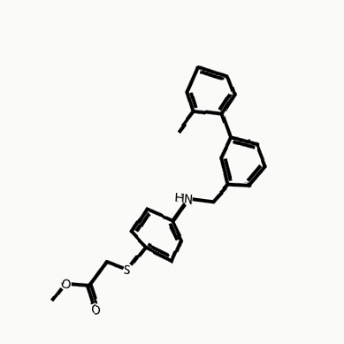 COC(=O)CSc1ccc(NCc2cccc(-c3ccccc3C)c2)cc1